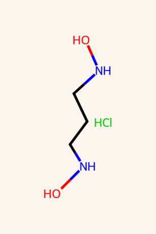 Cl.ONCCCNO